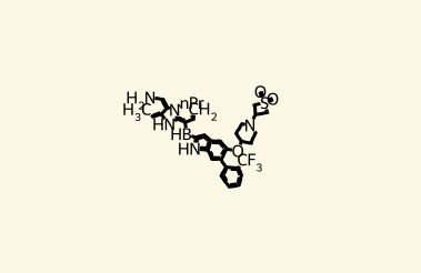 C=C/C(Bc1cc2cc(OC3CCN(C4CS(=O)(=O)C4)CC3)c(-c3ccccc3C(F)(F)F)cc2[nH]1)=C1/NC(=C/C)/C(=C\N)N1CCC